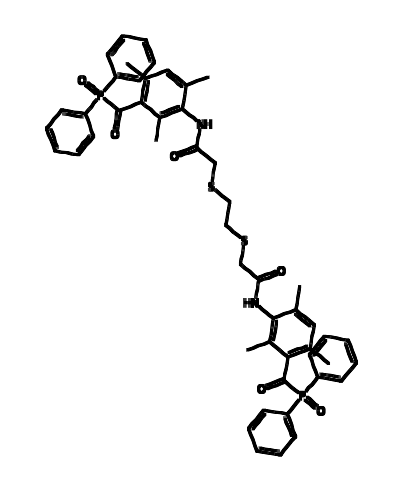 Cc1cc(C)c(C(=O)P(=O)(c2ccccc2)c2ccccc2)c(C)c1NC(=O)CSCCSCC(=O)Nc1c(C)cc(C)c(C(=O)P(=O)(c2ccccc2)c2ccccc2)c1C